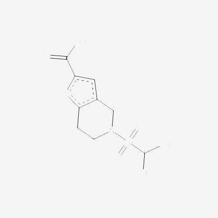 CC(C)S(=O)(=O)N1CCc2sc(C(=O)O)cc2C1